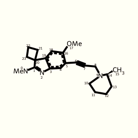 CNC1=Nc2cc(C#CCN3CCCC[C@@H]3C)c(OC)cc2C12CCC2